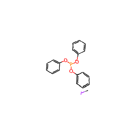 CI.c1ccc(OP(Oc2ccccc2)Oc2ccccc2)cc1